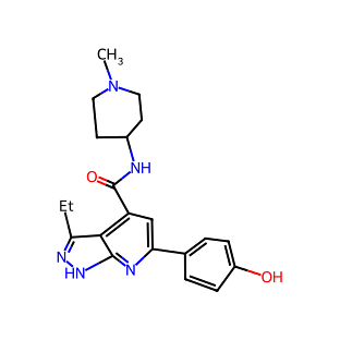 CCc1n[nH]c2nc(-c3ccc(O)cc3)cc(C(=O)NC3CCN(C)CC3)c12